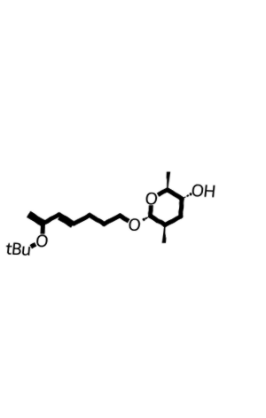 C=C(/C=C/CCCO[C@@H]1O[C@@H](C)[C@H](O)C[C@H]1C)OC(C)(C)C